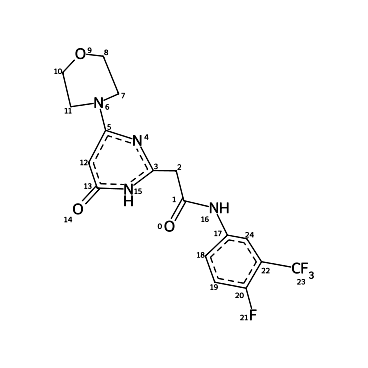 O=C(Cc1nc(N2CCOCC2)cc(=O)[nH]1)Nc1ccc(F)c(C(F)(F)F)c1